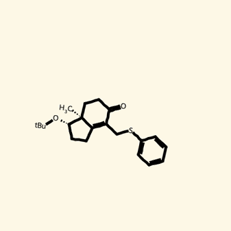 CC(C)(C)O[C@H]1CCC2=C(CSc3ccccc3)C(=O)CC[C@@]21C